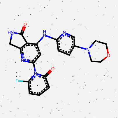 O=C1NCc2nc(-n3c(F)cccc3=O)cc(Nc3ccc(N4CCOCC4)cn3)c21